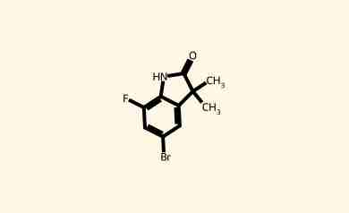 CC1(C)C(=O)Nc2c(F)cc(Br)cc21